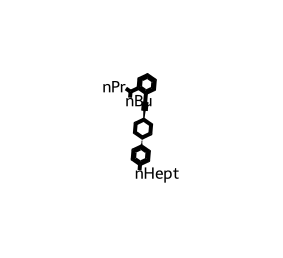 CCCCCCCc1ccc([C@H]2CC[C@H](C#Cc3ccccc3C(CCC)CCCC)CC2)cc1